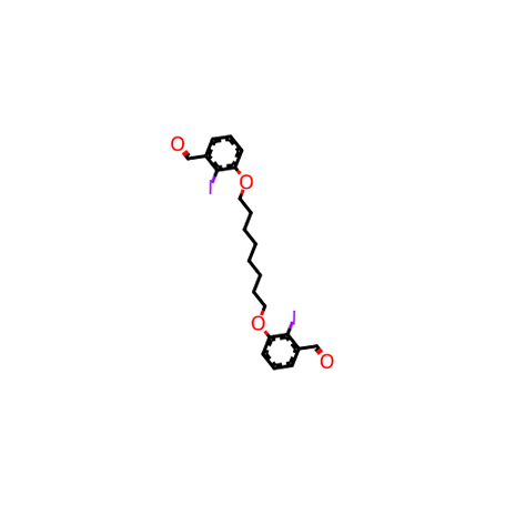 O=Cc1cccc(OCCCCCCCCOc2cccc(C=O)c2I)c1I